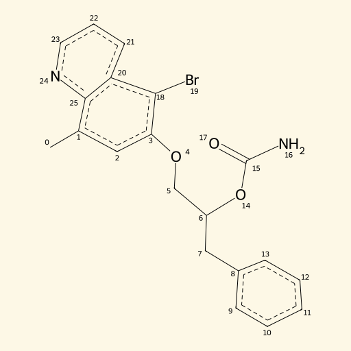 Cc1cc(OCC(Cc2ccccc2)OC(N)=O)c(Br)c2cccnc12